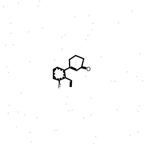 C=Cc1c(F)cccc1C1=CC(=O)CCC1